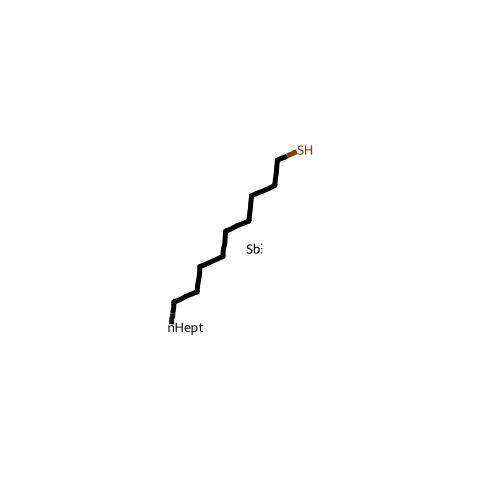 CCCCCCCCCCCCCCCCS.[Sb]